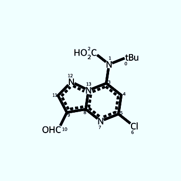 CC(C)(C)N(C(=O)O)c1cc(Cl)nc2c(C=O)cnn12